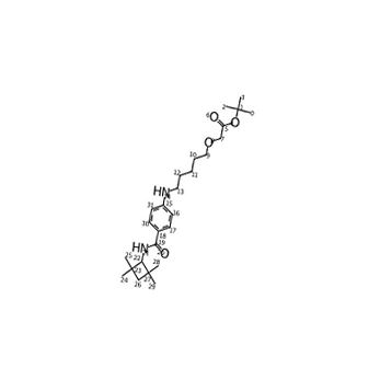 CC(C)(C)OC(=O)COCCCCCNc1ccc(C(=O)NC2C(C)(C)CC2(C)C)cc1